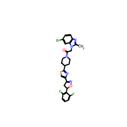 Cc1nc2ccc(Br)cc2n1CC(=O)N1CCC(c2nc(C3=NOC(c4c(F)cccc4F)C3)cs2)CC1